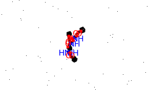 N=C(NC(=O)OCc1ccccc1)c1ccc(C(=O)N[C@@H](CC(=O)NCCC(=O)OCc2ccccc2)C(=O)OCc2ccccc2)cc1